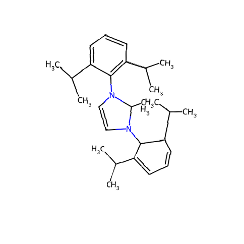 CC(C)C1=CC=CC(C(C)C)C1N1C=CN(c2c(C(C)C)cccc2C(C)C)C1C